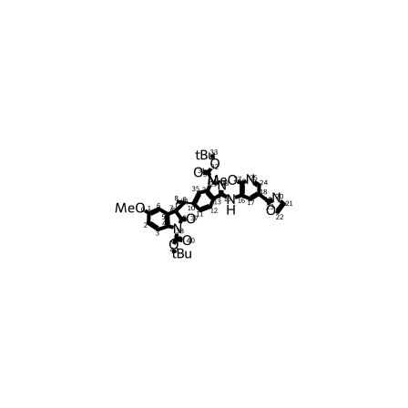 COc1ccc2c(c1)[C@]1(C[C@H]1c1ccc3c(Nc4cc(-c5ncco5)cnc4OC)nn(C(=O)OC(C)(C)C)c3c1)C(=O)N2C(=O)OC(C)(C)C